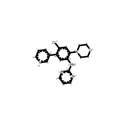 Clc1cc(N2CCOCC2)c(Nc2ncccn2)cc1-c1cccnc1